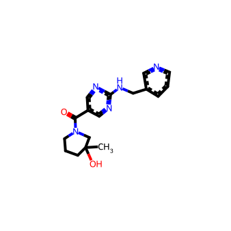 CC1(O)CCCN(C(=O)c2cnc(NCc3cccnc3)nc2)C1